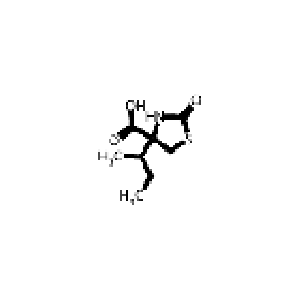 CCC(C)C1(C(=O)O)CSC(=O)N1